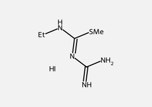 CCNC(=NC(=N)N)SC.I